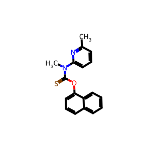 Cc1cccc(N(C)C(=S)Oc2cccc3ccccc23)n1